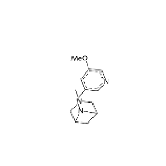 COc1cncc(CN2C3CC2CN(C)C3)c1